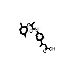 Cc1ccc(C)c(OC(C)C(=O)Nc2ccc(C(C)CC(=O)O)cc2)c1